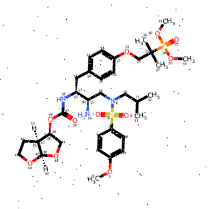 COc1ccc(S(=O)(=O)N(CC(C)C)C[C@@H](N)[C@H](Cc2ccc(OCC(C)(C)P(=O)(OC)OC)cc2)NC(=O)O[C@H]2CO[C@H]3OCC[C@H]32)cc1